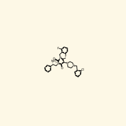 Cc1c(N2CCN(Cc3ccccc3Cl)CC2)c(=O)n(C[C@@H](N)c2ccccc2)c(=O)n1Cc1c(F)cccc1F